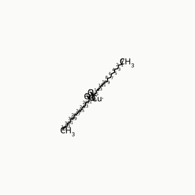 CCCCCCCCCCCCCCCCC(=O)OC(=O)CCCCCCCCCCCCCCC.[Cu]